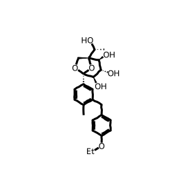 CCOc1ccc(Cc2cc([C@]34OC[C@]([C@@H](C)O)(O3)[C@@H](O)[C@H](O)[C@H]4O)ccc2C)cc1